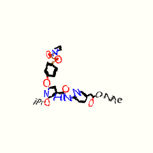 COC(=O)Cc1ccc(NC(=O)c2cc(Oc3ccc(S(=O)(=O)N4CCC4)cc3)nc(OC(C)C)c2)nc1